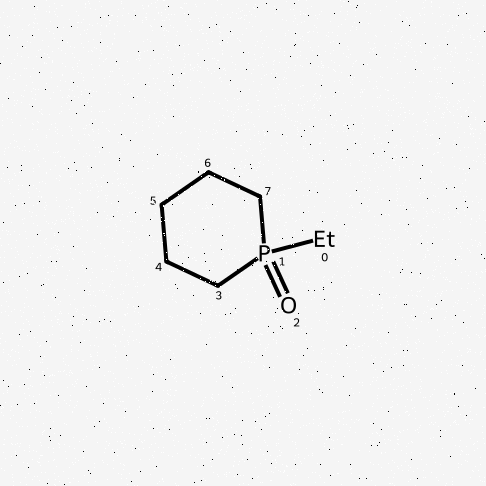 CCP1(=O)CCCCC1